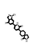 CCn1ncc2c(F)cc(-c3ccc(C4CCC5(CCNC5=O)CC4)c(=O)[nH]3)cc21